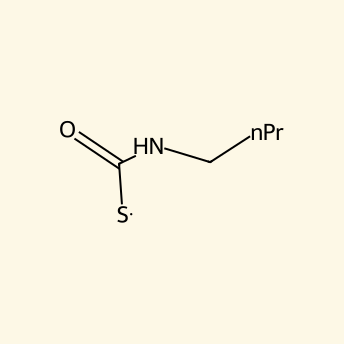 CCCCNC(=O)[S]